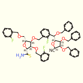 N#C[C@@H]1O[C@H](C(OCc2ccccc2)c2cccc(CO[C@H]3[C@@H](OCc4ccccc4F)[C@H](C(N)=S)O[C@@H]3COCc3ccccc3F)c2F)[C@@H](OCc2ccccc2)[C@H]1OCc1ccccc1